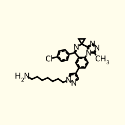 Cc1nnc2n1-c1ccc(-c3cnn(CCCCCCCN)c3)cc1C(c1ccc(Cl)cc1)=NC21CC1